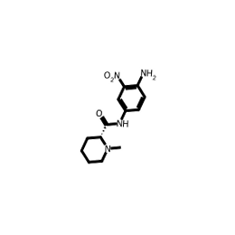 CN1CCCC[C@@H]1C(=O)Nc1ccc(N)c([N+](=O)[O-])c1